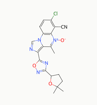 Cc1c2c(-c3nc(C4CCC(C)(C)O4)no3)ncn2c2ccc(Cl)c(C#N)c2[n+]1[O-]